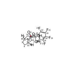 CN(C)C(=O)N1[C@@H]2CC[C@H]1C[C@@H](Oc1c(F)c(F)c(F)c(F)c1F)C2